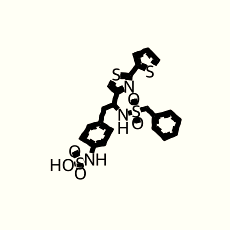 O=S(=O)(O)Nc1ccc(CC(NS(=O)(=O)Cc2ccccc2)c2csc(-c3cccs3)n2)cc1